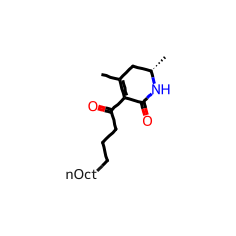 CCCCCCCCCCCC(=O)C1=C(C)C[C@H](C)NC1=O